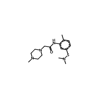 Cc1ccc(SN(C)C)cc1NC(=O)CN1CCN(C)CC1